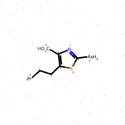 CC(C)CCc1sc([AsH2])nc1C(=O)O